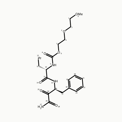 COCCOCCOC(=O)N[C@@H](CC(C)C)C(=O)N[C@@H](Cc1ccccc1)C(=O)C(N)=O